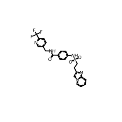 O=C(NCc1ccc(C(F)(F)F)nc1)c1ccc(NS(=O)(=O)CCc2cn3ccccc3n2)cc1